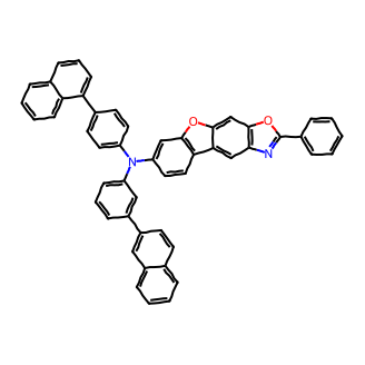 c1ccc(-c2nc3cc4c(cc3o2)oc2cc(N(c3ccc(-c5cccc6ccccc56)cc3)c3cccc(-c5ccc6ccccc6c5)c3)ccc24)cc1